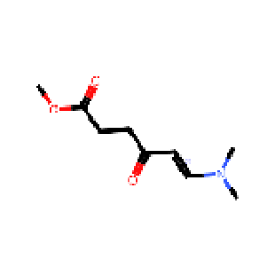 COC(=O)CCC(=O)/C=C/N(C)C